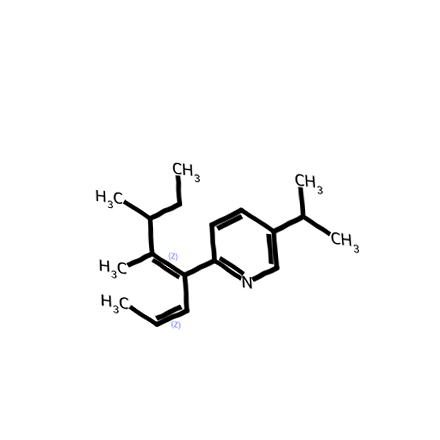 C/C=C\C(=C(/C)C(C)CC)c1ccc(C(C)C)cn1